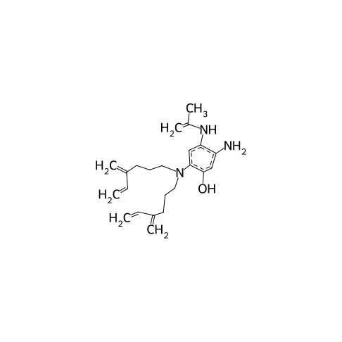 C=CC(=C)CCCN(CCCC(=C)C=C)c1cc(NC(=C)C)c(N)cc1O